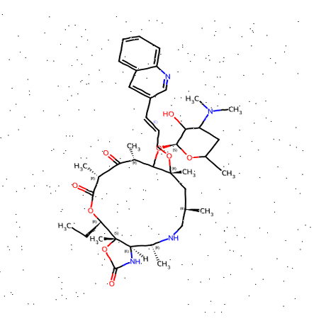 CC[C@H]1OC(=O)[C@H](C)C(=O)[C@H](C)C(O[C@@H]2OC(C)CC(N(C)C)C2O)[C@](C)(OC/C=C/c2cnc3ccccc3c2)C[C@@H](C)CN[C@H](C)[C@H]2NC(=O)O[C@@]21C